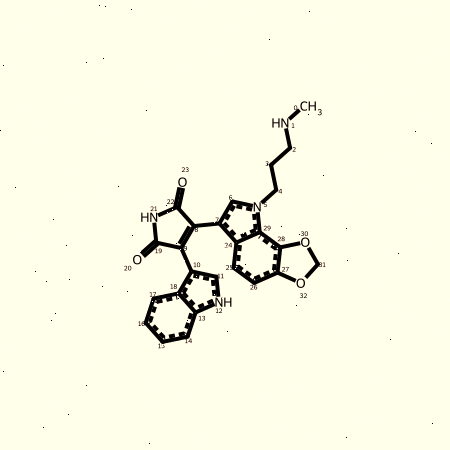 CNCCCn1cc(C2=C(c3c[nH]c4ccccc34)C(=O)NC2=O)c2ccc3c(c21)OCO3